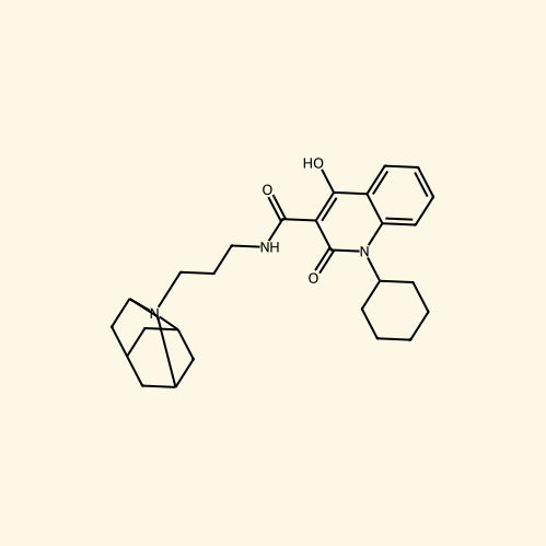 O=C(NCCCN1C2CC3CC(C2)CC1C3)c1c(O)c2ccccc2n(C2CCCCC2)c1=O